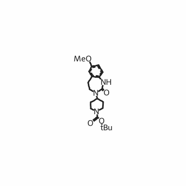 COc1ccc2c(c1)CCN(C1CCN(C(=O)OC(C)(C)C)CC1)C(=O)N2